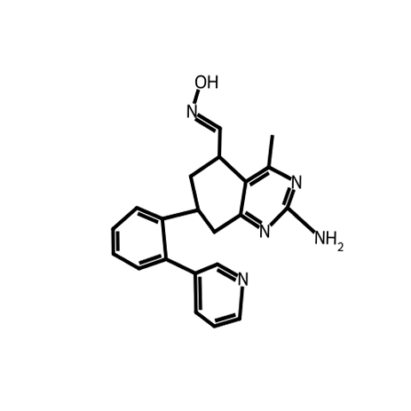 Cc1nc(N)nc2c1C(C=NO)CC(c1ccccc1-c1cccnc1)C2